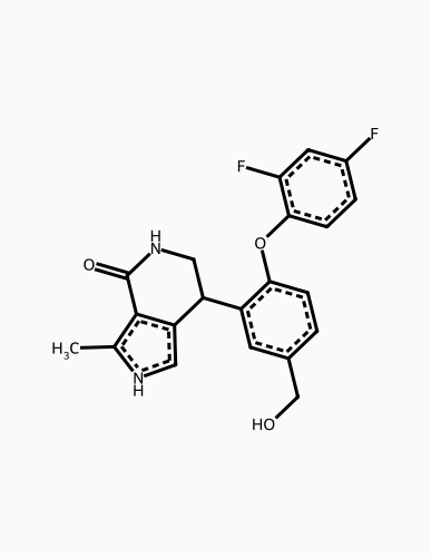 Cc1[nH]cc2c1C(=O)NCC2c1cc(CO)ccc1Oc1ccc(F)cc1F